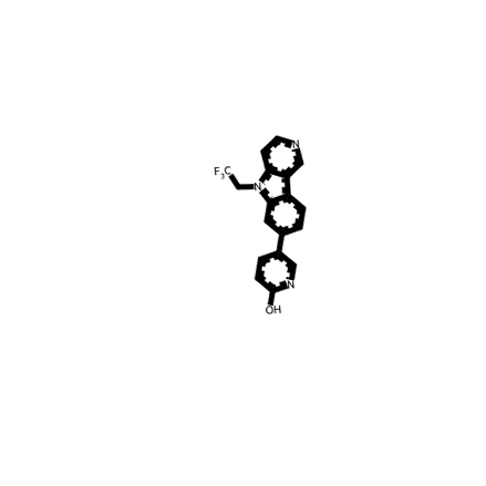 Oc1ccc(-c2ccc3c4cnccc4n(CC(F)(F)F)c3c2)cn1